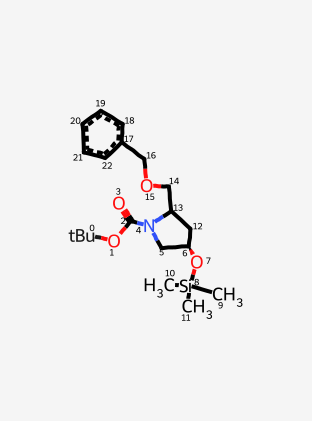 CC(C)(C)OC(=O)N1C[C@H](O[Si](C)(C)C)CC1COCc1ccccc1